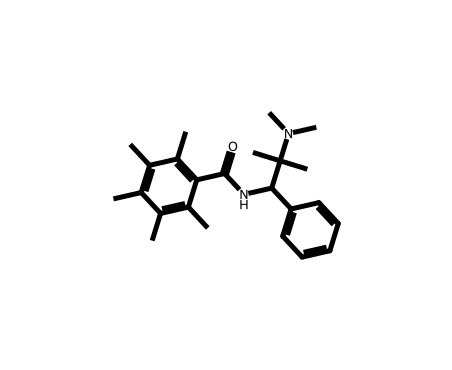 Cc1c(C)c(C)c(C(=O)NC(c2ccccc2)C(C)(C)N(C)C)c(C)c1C